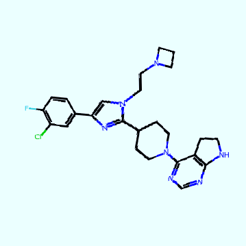 Fc1ccc(-c2cn(CCN3CCC3)c(C3CCN(c4ncnc5c4CCN5)CC3)n2)cc1Cl